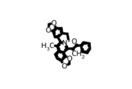 C=C(C(=O)c1ccccc1)c1c2c3c(ccc2c(C)c2[n+]1CCc1cc4c(cc1-2)OCO4)OCO3